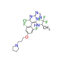 C[C@@H](Nc1c(-c2c(F)cc(OCCCN3CCCC3)cc2F)c(Cl)nc2ncnn12)C(F)(F)F